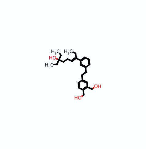 CCC(=CCCC(O)(CC)CC)c1cccc(CCc2ccc(CO)c(CO)c2)c1